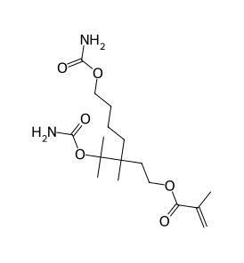 C=C(C)C(=O)OCCC(C)(CCCCOC(N)=O)C(C)(C)OC(N)=O